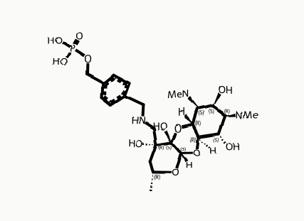 CN[C@@H]1[C@H](O)[C@H](NC)[C@H]2O[C@]3(O)[C@H](O[C@@H]2[C@H]1O)O[C@H](C)C[C@@]3(O)CNCc1ccc(COP(=O)(O)O)cc1